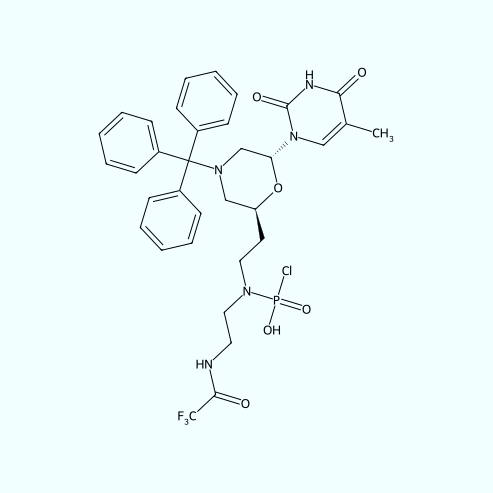 Cc1cn([C@H]2CN(C(c3ccccc3)(c3ccccc3)c3ccccc3)C[C@H](CCN(CCNC(=O)C(F)(F)F)P(=O)(O)Cl)O2)c(=O)[nH]c1=O